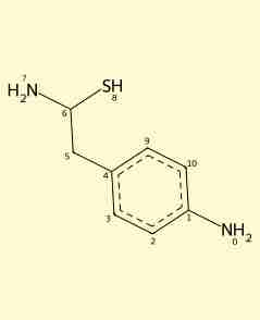 Nc1ccc(CC(N)S)cc1